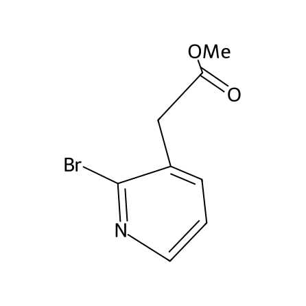 COC(=O)Cc1cccnc1Br